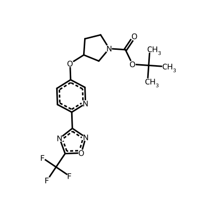 CC(C)(C)OC(=O)N1CCC(Oc2ccc(-c3noc(C(F)(F)F)n3)nc2)C1